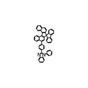 c1ccc(-n2c(-c3ccc(-c4cc5c(c6ccccc46)-c4c(ccc6ccccc46)C54c5ccccc5-c5ccccc54)cc3)nc3ccccc32)cc1